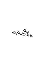 O=C(O)CSc1cnc(NC(=O)N(CC2CCCC2)c2ccc(Br)cc2F)s1